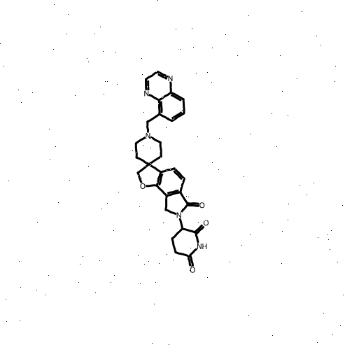 O=C1CCC(N2Cc3c(ccc4c3OCC43CCN(Cc4cccc5nccnc45)CC3)C2=O)C(=O)N1